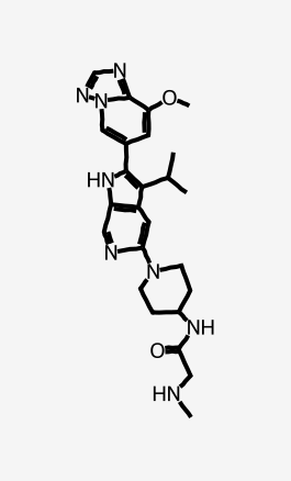 CNCC(=O)NC1CCN(c2cc3c(C(C)C)c(-c4cc(OC)c5ncnn5c4)[nH]c3cn2)CC1